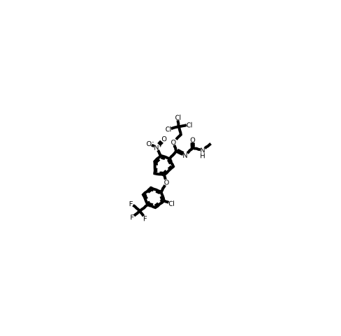 CNC(=O)N=C(OCC(Cl)(Cl)Cl)c1cc(Oc2ccc(C(F)(F)F)cc2Cl)ccc1[N+](=O)[O-]